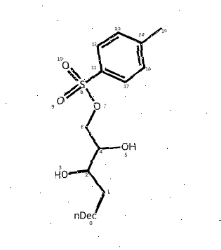 CCCCCCCCCCCC(O)C(O)COS(=O)(=O)c1ccc(C)cc1